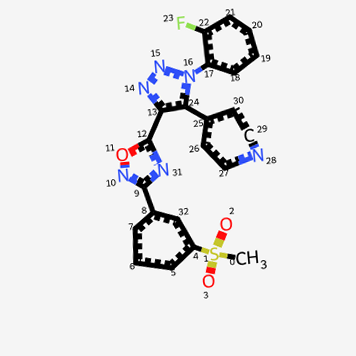 CS(=O)(=O)c1cccc(-c2noc(-c3nnn(-c4ccccc4F)c3-c3ccncc3)n2)c1